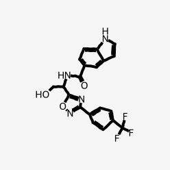 O=C(NC(CO)c1nc(-c2ccc(C(F)(F)F)cc2)no1)c1ccc2[nH]ccc2c1